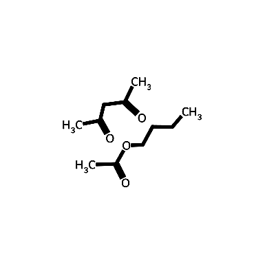 CC(=O)CC(C)=O.CCCCOC(C)=O